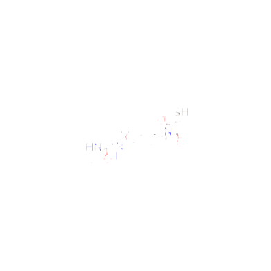 CC(C)NC(=O)CNC(=O)CCCCCN1C(=O)CC(S)C1=O